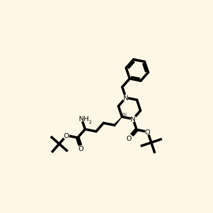 CC(C)(C)OC(=O)C(N)CCC[C@H]1CN(Cc2ccccc2)CCN1C(=O)OC(C)(C)C